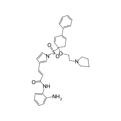 Nc1ccccc1NC(=O)C=Cc1ccn(S(=O)(=O)C2(OCCN3CCCC3)C=CC(c3ccccc3)=CC2)c1